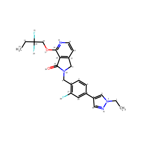 CCn1cc(-c2ccc(CN3Cc4ccnc(OCC(F)(F)CC)c4C3=O)c(F)c2)cn1